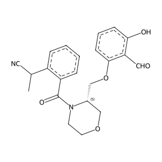 CC(C#N)c1ccccc1C(=O)N1CCOC[C@H]1COc1cccc(O)c1C=O